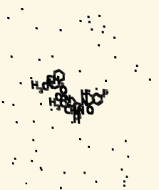 CN(C)CC(OC(=O)N1Cc2c(NC(=O)c3ccc(F)cc3F)n[nH]c2C1(C)C)C1CCCCC1